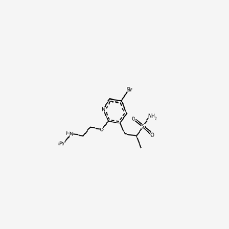 CC(C)NCCOc1ncc(Br)cc1CC(C)S(N)(=O)=O